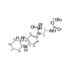 CC(C)(C)OC(=O)NCCN(c1ccc(NC2CCCCC2)c(N)c1)[SH](=O)=O